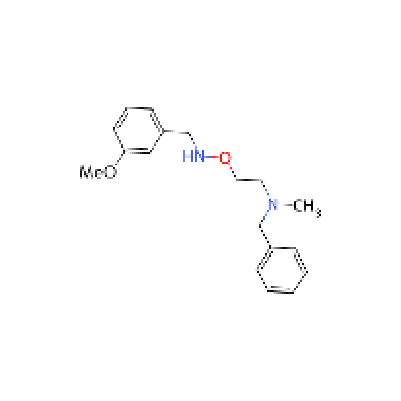 COc1cccc(CNOCCN(C)Cc2ccccc2)c1